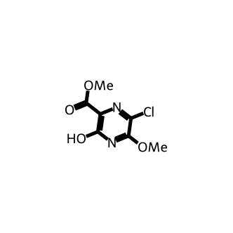 COC(=O)c1nc(Cl)c(OC)nc1O